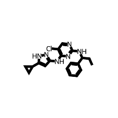 CCC(Nc1ncc(Cl)c(Nc2cc(C3CC3)[nH]n2)n1)c1ccccc1